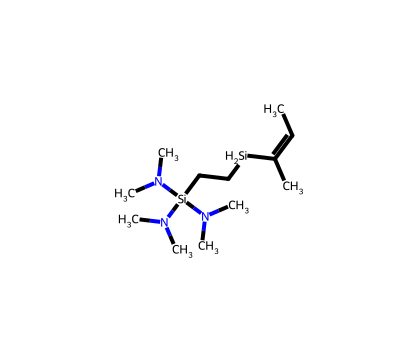 CC=C(C)[SiH2]CC[Si](N(C)C)(N(C)C)N(C)C